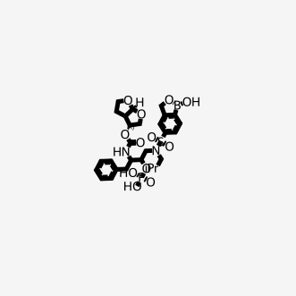 CC(C)CN(CC(OP(=O)(O)O)C(Cc1ccccc1)NC(=O)O[C@H]1CO[C@H]2OCCC21)S(=O)(=O)c1ccc2c(c1)COB2O